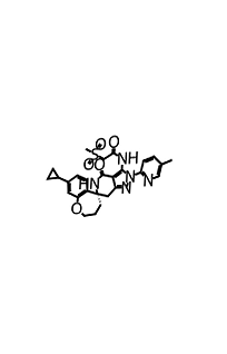 Cc1ccc(-n2nc3c(c2NC(=O)CS(C)(=O)=O)C(=O)N[C@@]2(CCCOc4cc(C5CC5)ccc42)C3)nc1